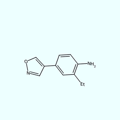 CCc1cc(-c2cnoc2)ccc1N